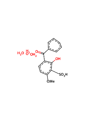 COc1ccc(C(=O)c2ccccc2)c(O)c1S(=O)(=O)O.O.O.O